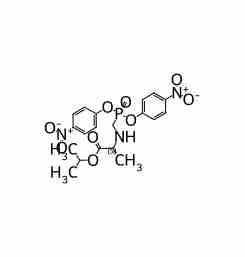 CC(C)OC(=O)[C@H](C)NCP(=O)(Oc1ccc([N+](=O)[O-])cc1)Oc1ccc([N+](=O)[O-])cc1